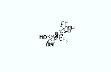 CP(=O)(OCC(CO)(CO)CO)OCC(CO)(CO)CO